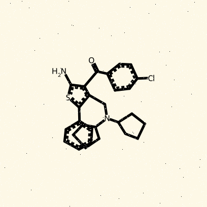 Nc1sc(-c2ccccc2)c(CN(C2CCCC2)C2CCCC2)c1C(=O)c1ccc(Cl)cc1